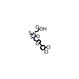 O=C(O)CCN1C(=O)/C(=C\c2ccc(-c3ccc(Cl)c(Cl)c3)o2)SC1=S